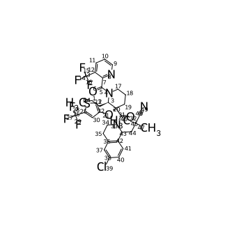 CCC[C@H]1N(C(=O)c2ncccc2C(F)(F)F)CCC[C@]1(Oc1csc(C(F)(F)F)c1)C(=O)N1CCc2cc(Cl)ccc2C1CC(C)(C)C#N